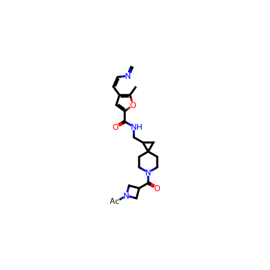 C=N/C=C\c1cc(C(=O)NCC2CC23CCN(C(=O)C2CN(C(C)=O)C2)CC3)oc1C